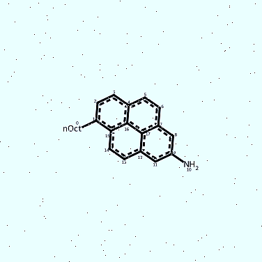 CCCCCCCCc1ccc2ccc3cc(N)cc4ccc1c2c34